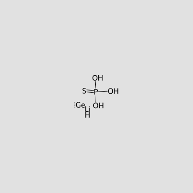 OP(O)(O)=S.[Ge].[LiH]